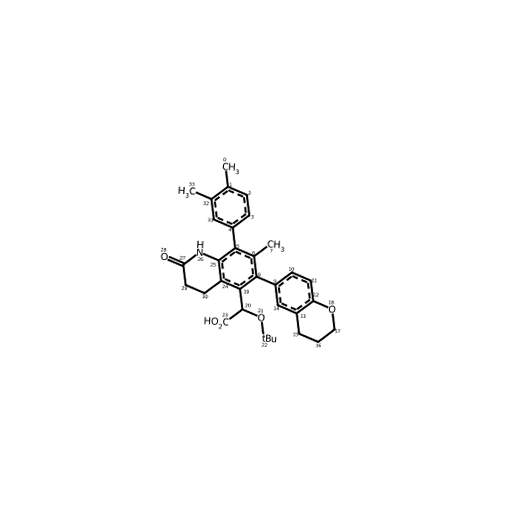 Cc1ccc(-c2c(C)c(-c3ccc4c(c3)CCCO4)c(C(OC(C)(C)C)C(=O)O)c3c2NC(=O)CC3)cc1C